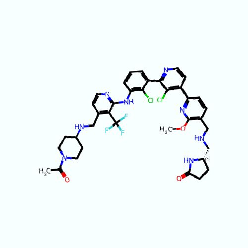 COc1nc(-c2ccnc(-c3cccc(Nc4nccc(CNC5CCN(C(C)=O)CC5)c4C(F)(F)F)c3Cl)c2Cl)ccc1CNC[C@@H]1CCC(=O)N1